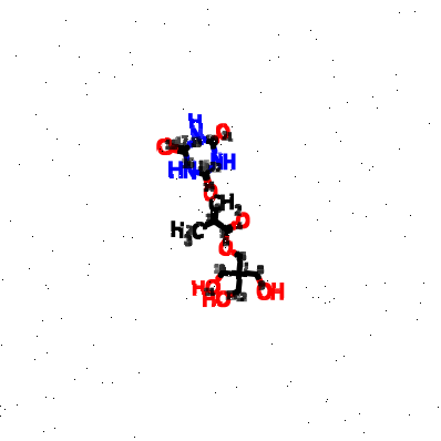 C=C(C)C(=O)OCC(CO)(CO)CO.O=c1[nH]c(=O)[nH]c(=O)[nH]1